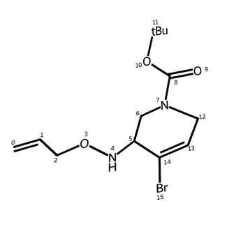 C=CCONC1CN(C(=O)OC(C)(C)C)CC=C1Br